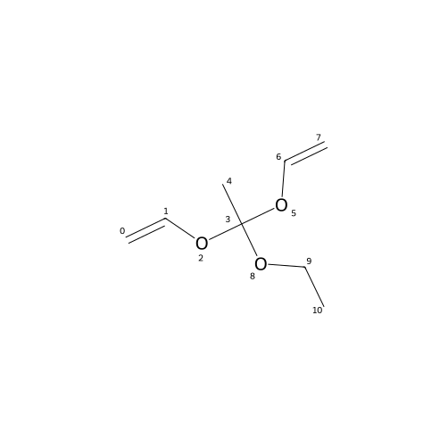 C=COC(C)(OC=C)OCC